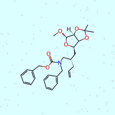 C=CC[C@@H](C[C@H]1O[C@@H](OC)[C@H]2OC(C)(C)OC12)CN(Cc1ccccc1)C(=O)OCc1ccccc1